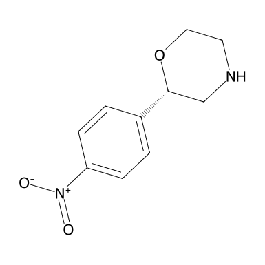 O=[N+]([O-])c1ccc([C@H]2CNCCO2)cc1